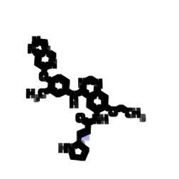 CCOc1cc2ncnc(Nc3ccc(Oc4cc5nncn5cn4)c(C)c3)c2cc1NC(=O)/C=C/[C@H]1CCCN1